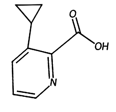 O=C(O)c1ncccc1C1CC1